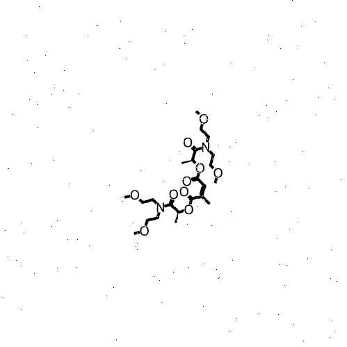 COCCN(CCOC)C(=O)[C@H](C)OC(=O)C=C(C)C(=O)O[C@@H](C)C(=O)N(CCOC)CCOC